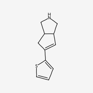 C1=C(c2cccs2)CC2CNCC12